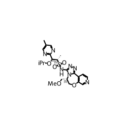 COC[C@H]1COc2cnccc2-c2nnc(NS(=O)(=O)[C@@H](C)[C@@H](OC(C)C)c3ncc(C)cn3)n21